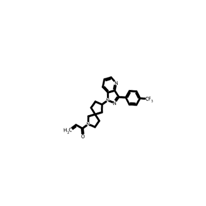 C=CC(=O)N1CCC2(CCC(n3nc(-c4ccc(C(F)(F)F)cc4)c4ncccc43)C2)C1